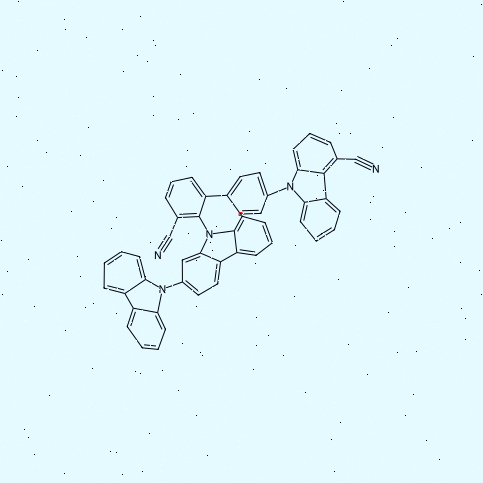 N#Cc1cccc(-c2ccc(-n3c4ccccc4c4c(C#N)cccc43)cc2)c1-n1c2ccccc2c2ccc(-n3c4ccccc4c4ccccc43)cc21